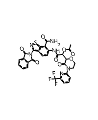 CC(=O)OC(C(=O)Nc1ccc2c(N3C(=O)c4ccccc4C3=O)nsc2c1C(N)=O)C1OCCN(c2cccc(C(F)(F)F)n2)C1=O